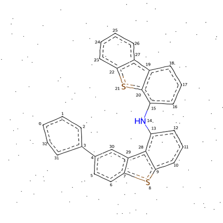 c1ccc(-c2ccc3sc4cccc(Nc5cccc6c5sc5ccccc56)c4c3c2)cc1